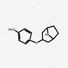 COc1ccc(SC2CC3CCC(C2)N3)cc1